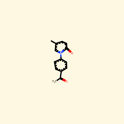 Cc1ccc(=O)n(-c2ccc(C(=O)C(F)(F)F)cc2)c1